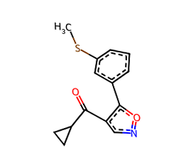 CSc1cccc(-c2oncc2C(=O)C2CC2)c1